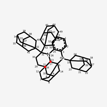 c1ccc(P(C23CC4CC(CC(C4)C2)C3)C23CC4CC(CC(C4)C2)C3)c(N2CCCCC2(C23CC4CC(CC(C4)C2)C3)C23CC4CC(CC(C4)C2)C3)c1